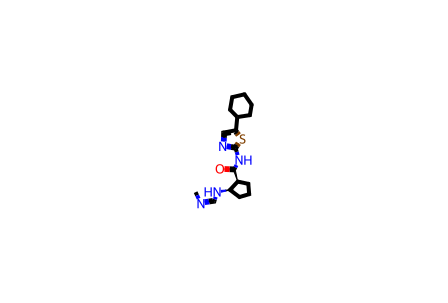 C/N=C\N[C@@H]1CCC[C@@H]1C(=O)Nc1ncc(C2CCCCC2)s1